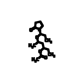 CCC(CC(C)OC(CC)N1CCCC1=O)OC(C)=O